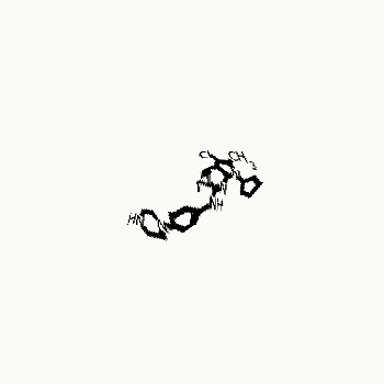 Cc1c(Cl)c2cnc(Nc3ccc(N4CCNCC4)cc3)nc2n1C1CCCC1